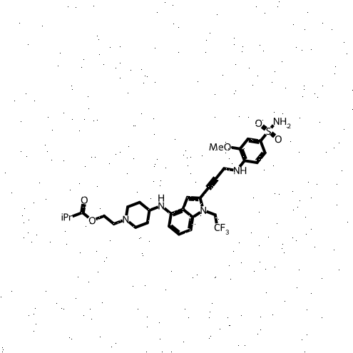 COc1cc(S(N)(=O)=O)ccc1NCC#Cc1cc2c(NC3CCN(CCOC(=O)C(C)C)CC3)cccc2n1CC(F)(F)F